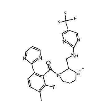 Cc1ccc(-c2ncccn2)c(C(=O)N2CCC[C@@H](C)C2CNc2ncc(C(F)(F)F)cn2)c1F